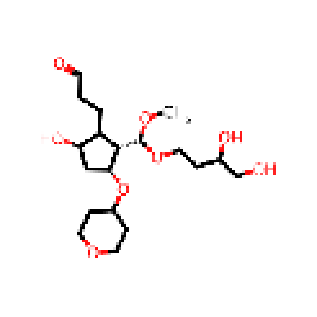 COC(OCCC(O)CO)[C@H]1[C@H](CCC=O)[C@H](O)C[C@@H]1OC1CCOCC1